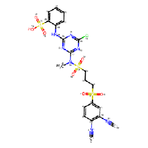 [C-]#[N+]c1ccc(S(=O)(=O)CCCS(=O)(=O)N(C)c2nc(Cl)nc(Nc3ccccc3S(=O)(=O)O)n2)cc1[N+]#[C-]